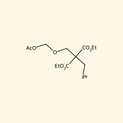 CCOC(=O)C(COCOC(C)=O)(CC(C)C)C(=O)OCC